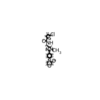 Cn1cc(CNC(=O)c2ccc(Cl)s2)nc1-c1ccc(N2CCOCC2=O)cc1